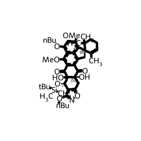 CCCCOc1noc2c1[C@H](O[Si](C)(C)C(C)(C)C)C1(O)C(=O)c3c(c4c5c(c(OC)cc(OCCCC)c5c3OC)[C@@]3(C4)C(C)=CCCC3(C)C)C(=O)[C@]1(O)C2